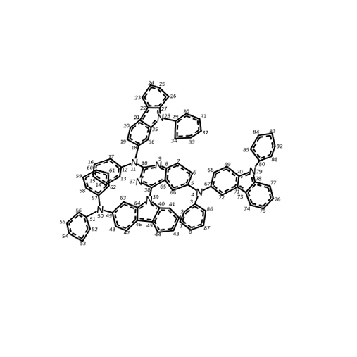 c1ccc(N(c2ccc3nc(N(c4ccccc4)c4ccc5c6ccccc6n(-c6ccccc6)c5c4)nc(-n4c5ccccc5c5ccc(N(c6ccccc6)c6ccccc6)cc54)c3c2)c2ccc3c(c2)c2ccccc2n3-c2ccccc2)cc1